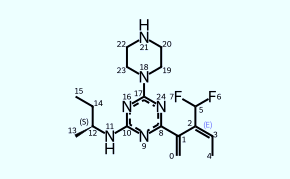 C=C(/C(=C\C)C(F)F)c1nc(N[C@@H](C)CC)nc(N2CCNCC2)n1